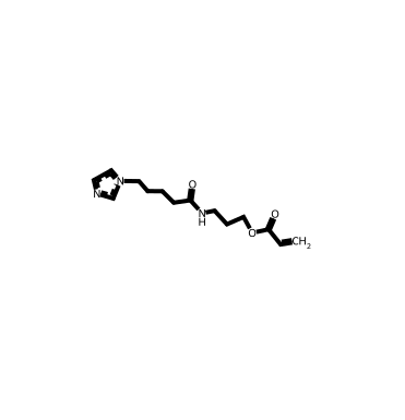 C=CC(=O)OCCCNC(=O)CCCCn1ccnc1